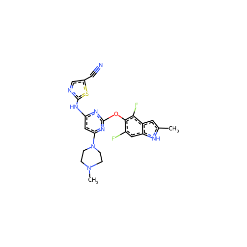 Cc1cc2c(F)c(Oc3nc(Nc4ncc(C#N)s4)cc(N4CCN(C)CC4)n3)c(F)cc2[nH]1